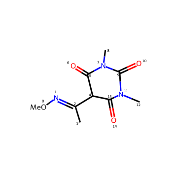 CO/N=C(\C)C1C(=O)N(C)C(=O)N(C)C1=O